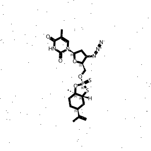 C=C(C)[C@H]1CC[C@@]2(C)O[P@](=S)(OC[C@H]3O[C@@H](n4cc(C)c(=O)[nH]c4=O)CC3N=[N+]=[N-])S[C@@H]2C1